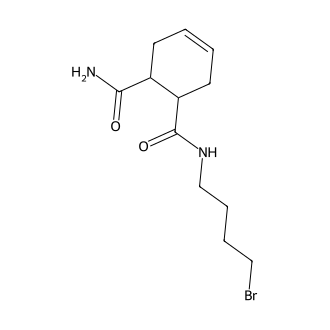 NC(=O)C1CC=CCC1C(=O)NCCCCBr